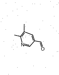 Cc1cc(C=O)cnc1C